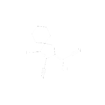 CC1=C(C#N)/C(=C(\C)C#N)OC12CCCCC2